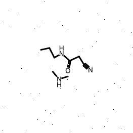 CCCNC(=O)CC#N.CNC